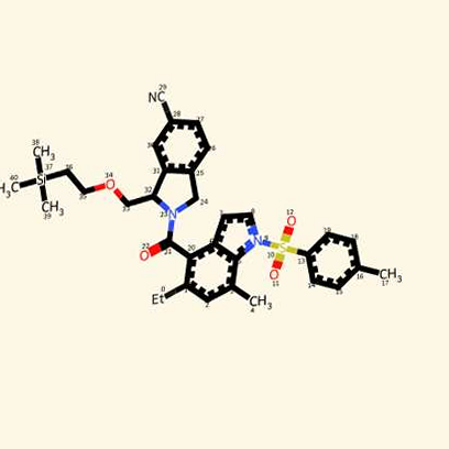 CCc1cc(C)c2c(ccn2S(=O)(=O)c2ccc(C)cc2)c1C(=O)N1Cc2ccc(C#N)cc2C1COCC[Si](C)(C)C